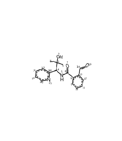 CC(C)(O)C(NC(=O)c1ccccc1C=O)c1ccccn1